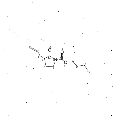 C=CCC1CCN(C(=O)OCCCC)C1=O